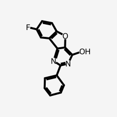 Oc1nc(-c2ccccc2)nc2c1oc1ccc(F)cc12